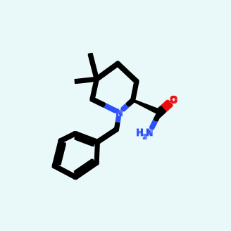 CC1(C)CC[C@@H](C(N)=O)N(Cc2ccccc2)C1